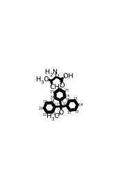 CC(C)[C@H](N)C(=O)O.COC(c1ccccc1)(c1ccccc1)c1ccccc1